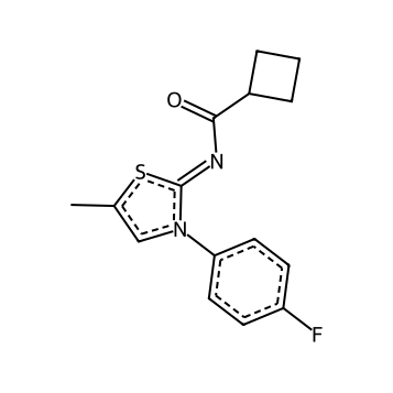 Cc1cn(-c2ccc(F)cc2)/c(=N/C(=O)C2CCC2)s1